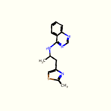 Cc1nc(CC(C)Nc2ncnc3ccccc23)cs1